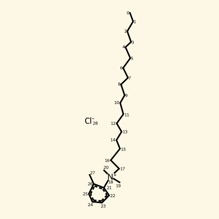 CCCCCCCCCCCCCCCCCC[N+](C)(C)c1ccccc1C.[Cl-]